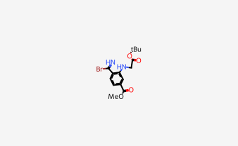 COC(=O)c1ccc(C(=N)Br)c(NCC(=O)OC(C)(C)C)c1